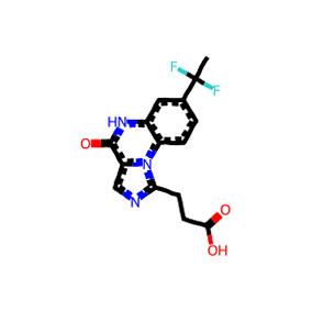 CC(F)(F)c1ccc2c(c1)[nH]c(=O)c1cnc(CCC(=O)O)n12